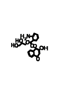 Nc1ccccc1C(=O)OCC(O)CO.O=C1C=C(O)C(=O)c2ccccc21